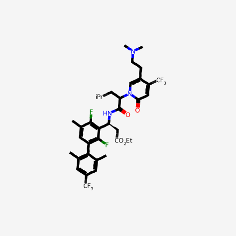 CCOC(=O)C[C@H](NC(=O)C(CC(C)C)n1cc(CCN(C)C)c(C(F)(F)F)cc1=O)c1c(F)c(C)cc(-c2c(C)cc(C(F)(F)F)cc2C)c1F